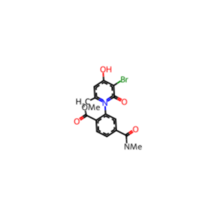 CNC(=O)c1ccc(C(=O)OC)c(-n2c(C)cc(O)c(Br)c2=O)c1